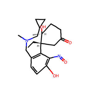 CC[C@]1(c2c(CN(C)CC3CC3)ccc(O)c2N=O)CC(=O)CC[C@]1(C)O